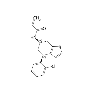 C=CC(=O)N[C@H]1Cc2sccc2[C@@H](c2ccccc2Cl)C1